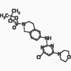 CC(C)(C)OC(=O)N1CCc2cc(Nc3nc(Cl)cc(N4CCOCC4)n3)ccc2C1